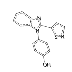 Oc1ccc(-n2c(-c3ccns3)nc3ccccc32)cc1